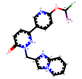 O=c1ccc(-c2ccc(OC(F)P)nc2)nn1Cc1cn2ccccc2n1